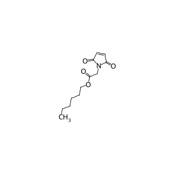 CCCCCCOC(=O)CN1C(=O)C=CC1=O